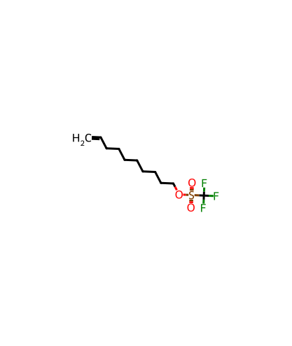 C=CCCCCCCCCOS(=O)(=O)C(F)(F)F